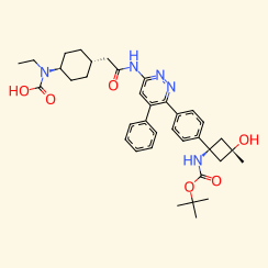 CCN(C(=O)O)[C@H]1CC[C@H](CC(=O)Nc2cc(-c3ccccc3)c(-c3ccc([C@]4(NC(=O)OC(C)(C)C)C[C@](C)(O)C4)cc3)nn2)CC1